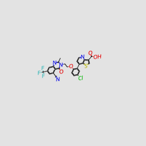 Cc1nc2cc(C(F)(F)F)cc(C#N)c2c(=O)n1CCOc1ccc(Cl)cc1-c1ccnc2c(C(=O)O)csc12